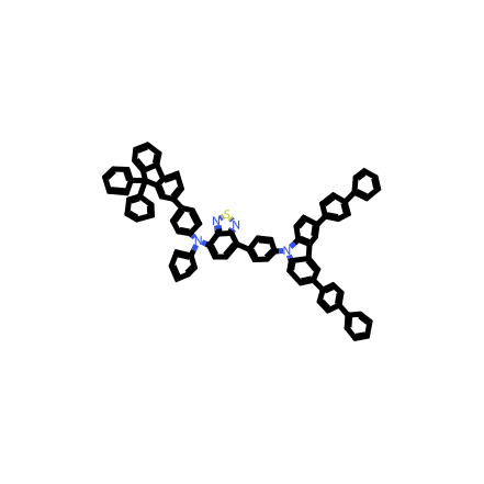 c1ccc(-c2ccc(-c3ccc4c(c3)c3cc(-c5ccc(-c6ccccc6)cc5)ccc3n4-c3ccc(-c4ccc(N(c5ccccc5)c5ccc(-c6ccc7c(c6)C(c6ccccc6)(c6ccccc6)c6ccccc6-7)cc5)c5nsnc45)cc3)cc2)cc1